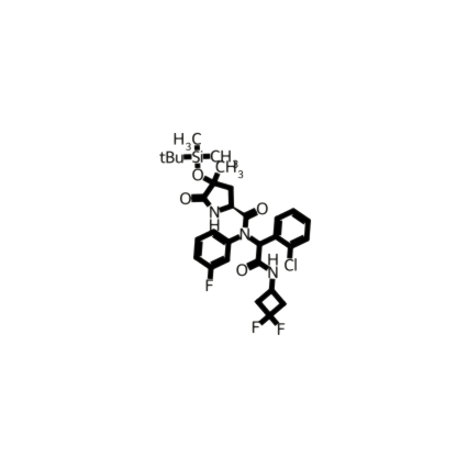 CC1(O[Si](C)(C)C(C)(C)C)C[C@@H](C(=O)N(c2cccc(F)c2)C(C(=O)NC2CC(F)(F)C2)c2ccccc2Cl)NC1=O